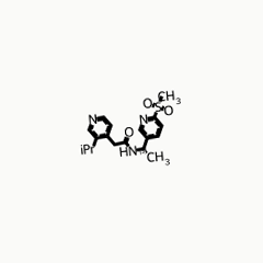 CC(C)c1cnccc1CC(=O)N[C@@H](C)c1ccc(S(C)(=O)=O)nc1